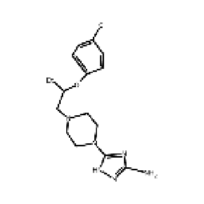 CCC(CN1CCN(c2nc(N)n[nH]2)CC1)Oc1ccc(Cl)cc1